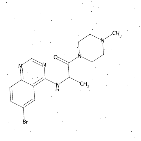 CC(Nc1ncnc2ccc(Br)cc12)C(=O)N1CCN(C)CC1